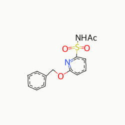 CC(=O)NS(=O)(=O)c1cccc(OCc2ccccc2)n1